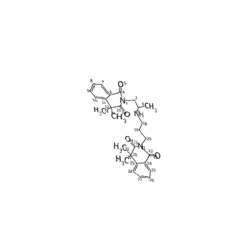 CC(CN1C(=O)c2ccccc2C(C)(C)C1=O)NCCCN1C(=O)c2ccccc2C(C)(C)C1=O